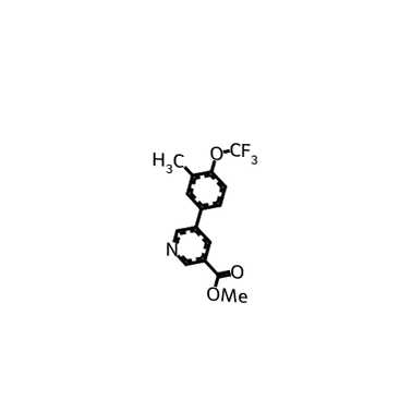 COC(=O)c1cncc(-c2ccc(OC(F)(F)F)c(C)c2)c1